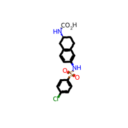 O=C(O)N[C@H]1CCc2cc(NS(=O)(=O)c3ccc(Cl)cc3)ccc2C1